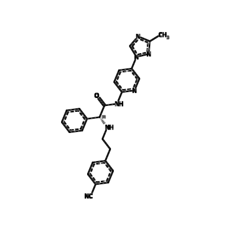 Cc1ncn(-c2ccc(NC(=O)[C@H](NCCc3ccc(C#N)cc3)c3ccccc3)nc2)n1